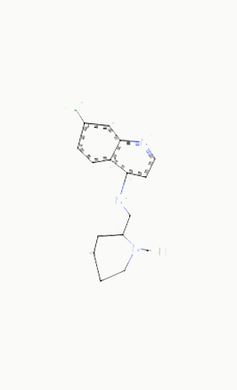 CN1CCCCC1CNc1ccnc2cc(Cl)ccc12